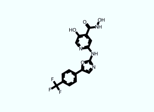 O=C(NO)c1cc(Nc2ncc(-c3ccc(C(F)(F)F)cc3)o2)ncc1O